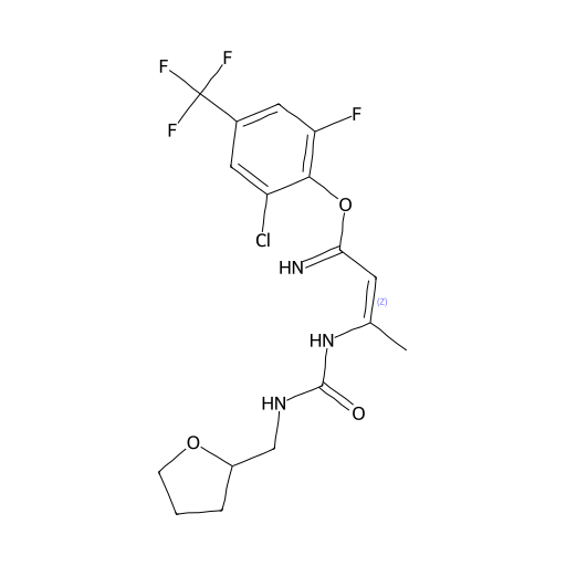 C/C(=C/C(=N)Oc1c(F)cc(C(F)(F)F)cc1Cl)NC(=O)NCC1CCCO1